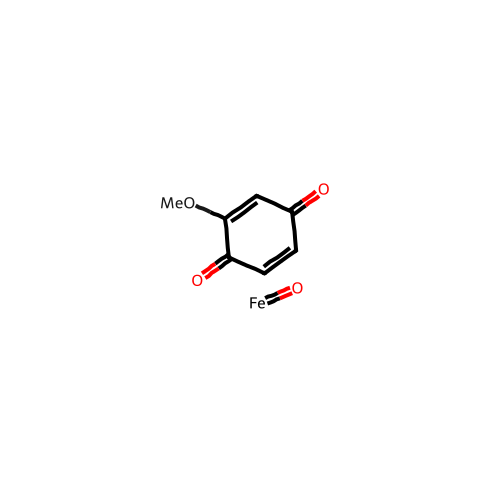 COC1=CC(=O)C=CC1=O.[O]=[Fe]